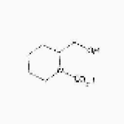 O=C(O)N1CCCCC1CO